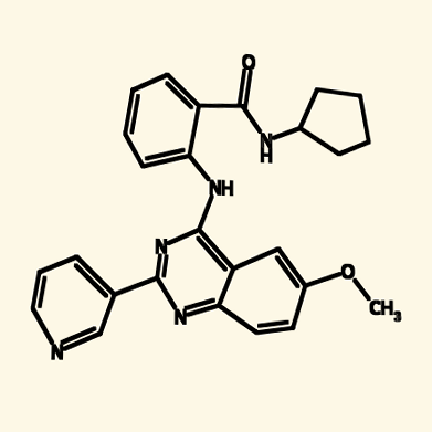 COc1ccc2nc(-c3cccnc3)nc(Nc3ccccc3C(=O)NC3CCCC3)c2c1